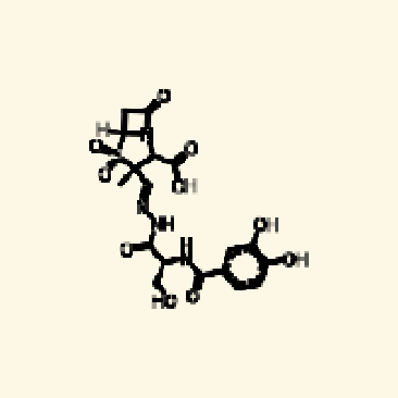 C[C@]1(/C=N/NC(=O)[C@H](CO)NC(=O)c2ccc(O)c(O)c2)[C@H](C(=O)O)N2C(=O)C[C@H]2S1(=O)=O